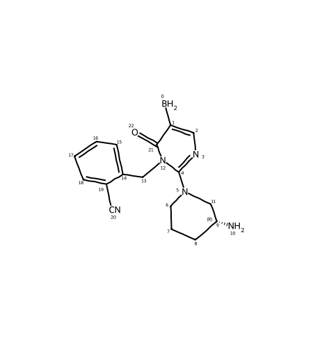 Bc1cnc(N2CCC[C@@H](N)C2)n(Cc2ccccc2C#N)c1=O